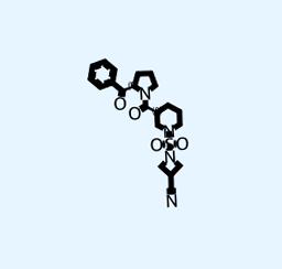 N#CC1CN(S(=O)(=O)N2CCC[C@H](C(=O)N3CCC[C@@H]3C(=O)c3ccccc3)C2)C1